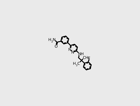 CC(C)(CNc1ccc(-c2cccc(C(N)=O)c2)nn1)c1ccccc1F